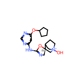 O[N+]12CCC(CC1)[C@]1(CN=C(Nc3cc(OC4CCCC4)ncn3)O1)C2